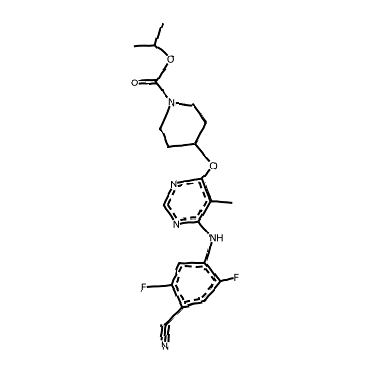 Cc1c(Nc2cc(F)c(C#N)cc2F)ncnc1OC1CCN(C(=O)OC(C)C)CC1